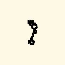 NCc1cccc(OCCCn2cccn2)c1